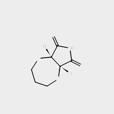 O=C1NC(=O)[C@@H]2SCCCS[C@H]12